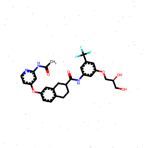 CC(=O)Nc1cc(Oc2ccc3c(c2)CC(C(=O)Nc2cc(OC[C@@H](O)CO)cc(C(F)(F)F)c2)CC3)ccn1